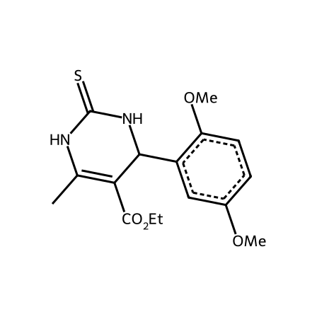 CCOC(=O)C1=C(C)NC(=S)NC1c1cc(OC)ccc1OC